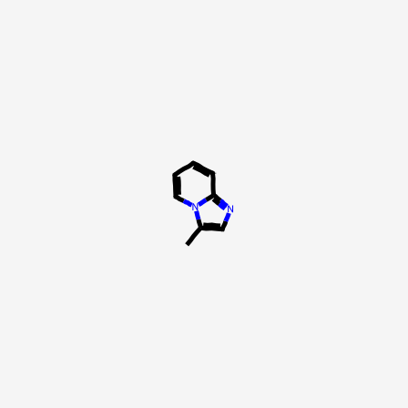 Cc1cnc2[c]cccn12